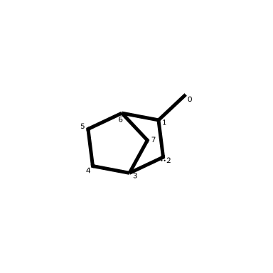 CC1[C]C2CCC1C2